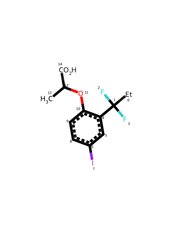 CCC(F)(F)c1cc(I)ccc1OC(C)C(=O)O